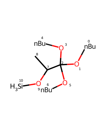 CCCCOC(OCCCC)(OCCCC)C(C)O[SiH3]